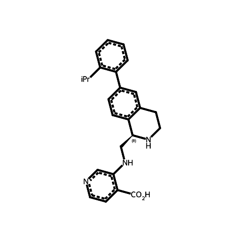 CC(C)c1ccccc1-c1ccc2c(c1)CCN[C@H]2CNc1cnccc1C(=O)O